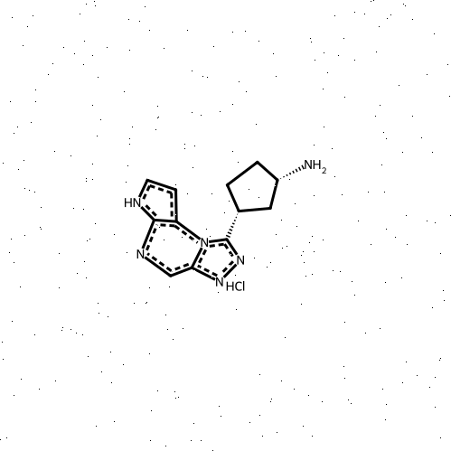 Cl.N[C@H]1CC[C@@H](c2nnc3cnc4[nH]ccc4n23)C1